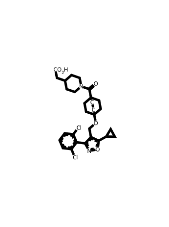 O=C(O)CC1CCN(C(=O)C23CCC(OCc4c(-c5c(Cl)cccc5Cl)noc4C4CC4)(CC2)CC3)CC1